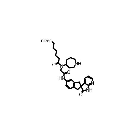 CCCCCCCCCCCCCCCC(=O)N(CC(=O)Nc1ccc2c(c1)CC1(C2)C(=O)Nc2ncccc21)C1CCCNCC1